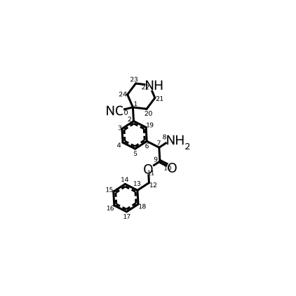 N#CC1(c2cccc(C(N)C(=O)OCc3ccccc3)c2)CCNCC1